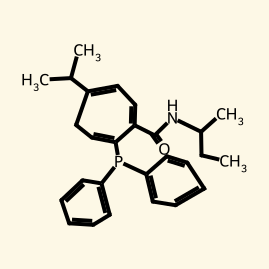 CCC(C)NC(=O)C1=CC=C(C(C)C)CC=C1P(c1ccccc1)c1ccccc1